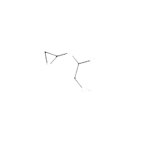 CCCCCC(CC)OC1CO1